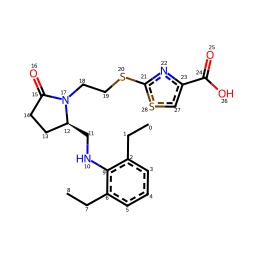 CCc1cccc(CC)c1NC[C@H]1CCC(=O)N1CCSc1nc(C(=O)O)cs1